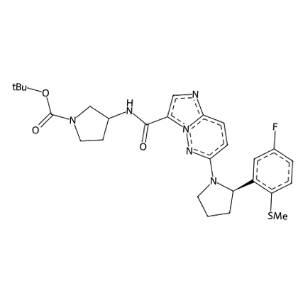 CSc1ccc(F)cc1[C@H]1CCCN1c1ccc2ncc(C(=O)NC3CCN(C(=O)OC(C)(C)C)C3)n2n1